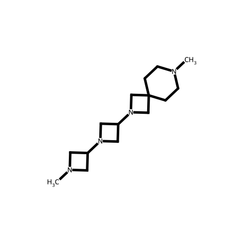 CN1CCC2(CC1)CN(C1CN(C3CN(C)C3)C1)C2